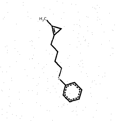 CC1=C(CCCCSc2ccccc2)C1